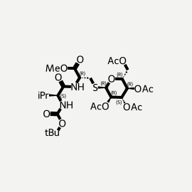 COC(=O)[C@H](CS[C@H]1O[C@H](COC(C)=O)[C@@H](OC(C)=O)[C@H](OC(C)=O)[C@H]1OC(C)=O)NC(=O)[C@@H](NC(=O)OC(C)(C)C)C(C)C